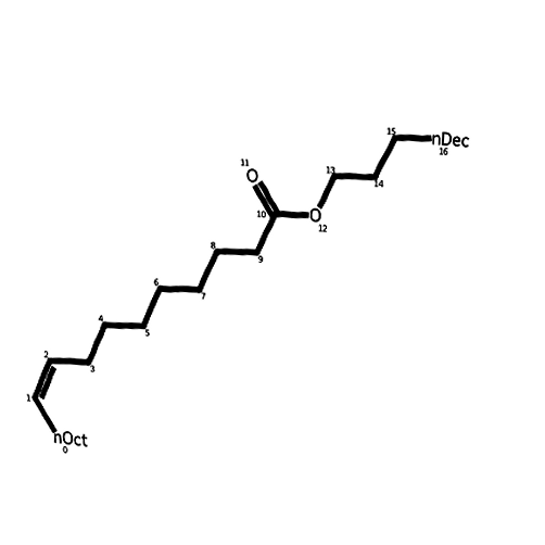 CCCCCCCC/C=C\CCCCCCCC(=O)OCCCCCCCCCCCCC